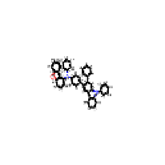 c1ccc(-c2cc3c(cc2-c2ccc(N(c4ccccc4)c4cccc5oc6ccccc6c45)cc2)c2ccccc2n3-c2ccccc2)cc1